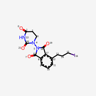 O=C1CCN(N2C(=O)c3cccc(CCCI)c3C2=O)C(=O)N1